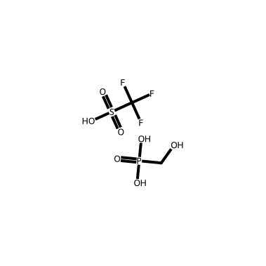 O=P(O)(O)CO.O=S(=O)(O)C(F)(F)F